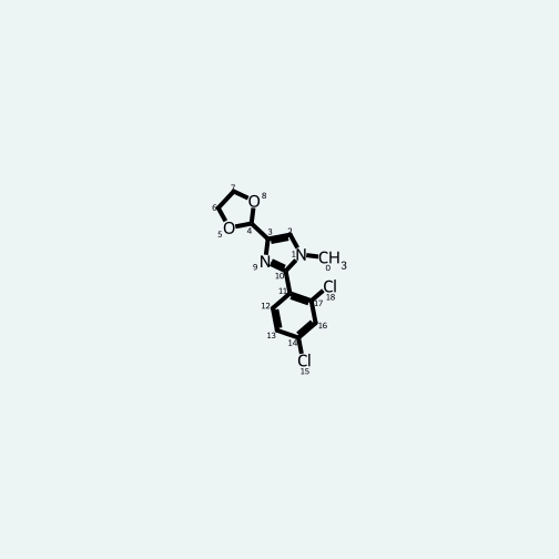 Cn1cc(C2OCCO2)nc1-c1ccc(Cl)cc1Cl